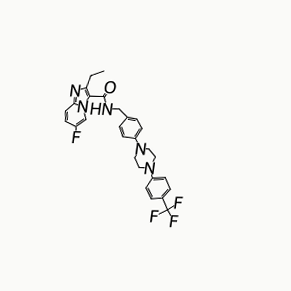 CCc1nc2ccc(F)cn2c1C(=O)NCc1ccc(N2CCN(c3ccc(C(F)(F)F)cc3)CC2)cc1